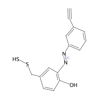 C#Cc1cccc(/N=N/c2cc(CSS)ccc2O)c1